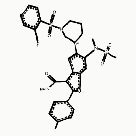 CNC(=O)c1c(-c2ccc(C)cc2)oc2cc(N(C)S(C)(=O)=O)c([C@@H]3CCCN(S(=O)(=O)c4ccccc4F)C3)cc12